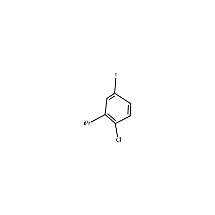 CC(C)c1cc(F)ccc1Cl